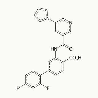 O=C(Nc1cc(-c2ccc(F)cc2F)ccc1C(=O)O)c1cncc(-n2cccc2)c1